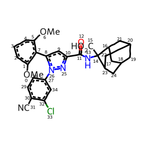 COc1cccc(OC)c1-c1cc(C(=O)NC2(C(=O)O)C3CC4CC(C3)CC2C4)nn1-c1ccc(C#N)c(Cl)c1